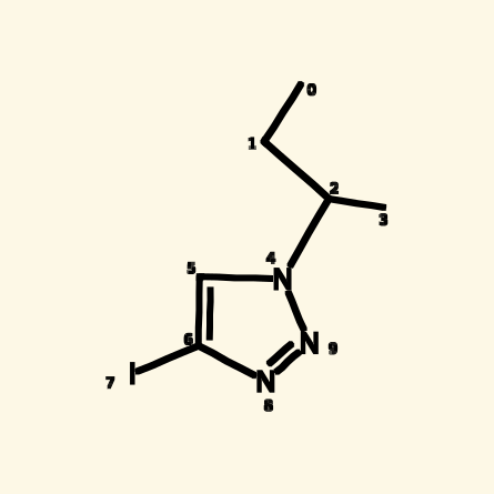 CCC(C)n1cc(I)nn1